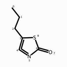 CCCC1=C=NC(=O)S1